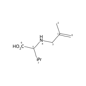 C=C(C)CNC(C(=O)O)C(C)C